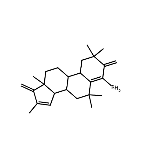 BC1=C2C(CC(C)(C)C1=C)C1CCC3(C)C(=C)C(C)=CC3C1CC2(C)C